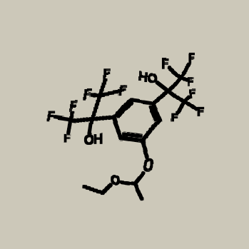 CCOC(C)Oc1cc(C(O)(C(F)(F)F)C(F)(F)F)cc(C(O)(C(F)(F)F)C(F)(F)F)c1